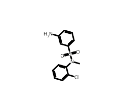 CN(c1ccccc1Cl)S(=O)(=O)c1cccc(N)c1